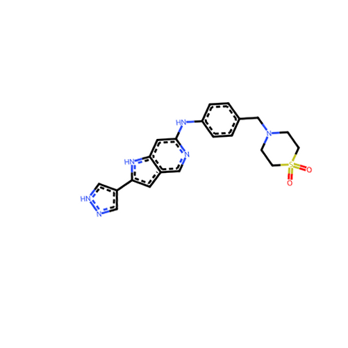 O=S1(=O)CCN(Cc2ccc(Nc3cc4[nH]c(-c5cn[nH]c5)cc4cn3)cc2)CC1